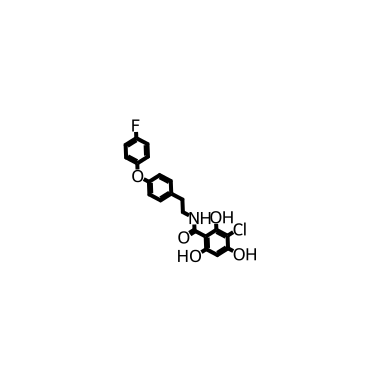 O=C(NCCc1ccc(Oc2ccc(F)cc2)cc1)c1c(O)cc(O)c(Cl)c1O